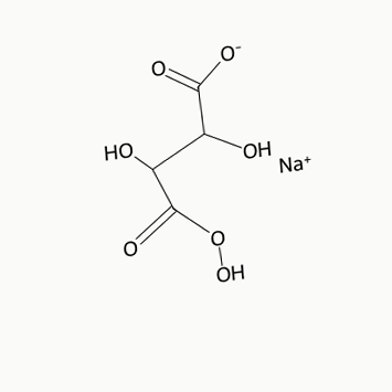 O=C([O-])C(O)C(O)C(=O)OO.[Na+]